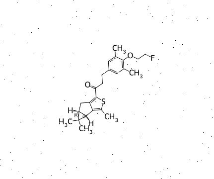 Cc1cc(CCC(=O)c2sc(C)c3c2C[C@@H]2[C@H]3C2(C)C)cc(C)c1OCCF